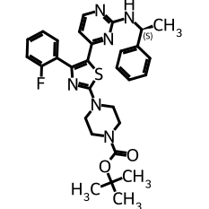 C[C@H](Nc1nccc(-c2sc(N3CCN(C(=O)OC(C)(C)C)CC3)nc2-c2ccccc2F)n1)c1ccccc1